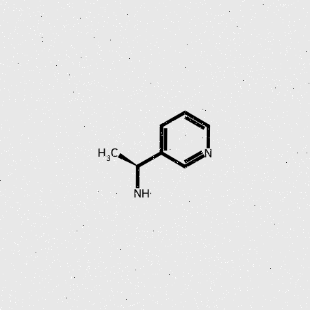 C[C@H]([NH])c1cccnc1